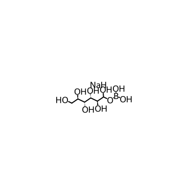 OC[C@@H](O)[C@@H](O)[C@H](O)[C@H](O)C(O)OB(O)O.[NaH]